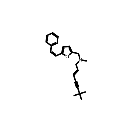 CN(C/C=C/C#CC(C)(C)C)Cc1ccc(/C=C\c2ccccc2)o1